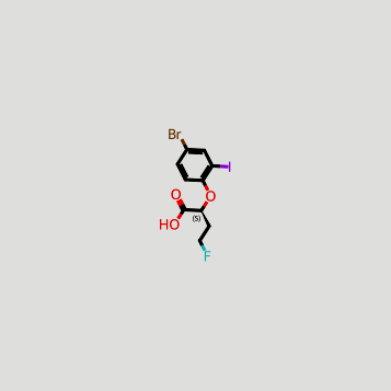 O=C(O)[C@H](CCF)Oc1ccc(Br)cc1I